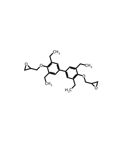 CCc1cc(-c2cc(CC)c(OCC3CO3)c(CC)c2)cc(CC)c1OCC1CO1